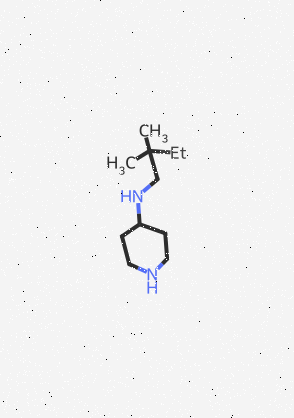 CCC(C)(C)CNC1CCNCC1